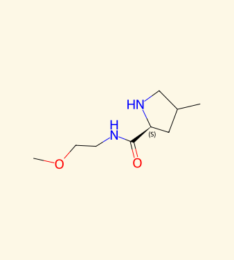 COCCNC(=O)[C@@H]1CC(C)CN1